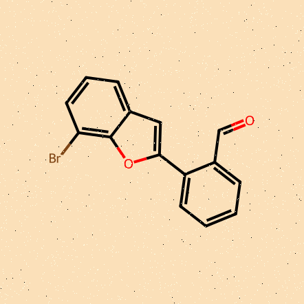 O=Cc1ccccc1-c1cc2cccc(Br)c2o1